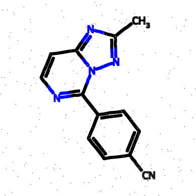 Cc1nc2ccnc(-c3ccc(C#N)cc3)n2n1